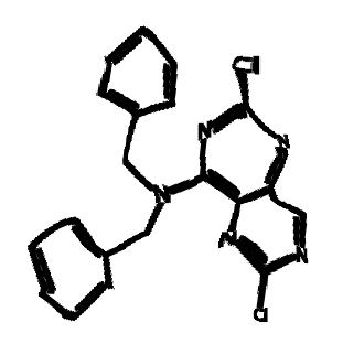 Clc1nc(N(Cc2ccccc2)Cc2ccccc2)c2nc(Cl)ncc2n1